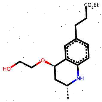 CCOC(=O)CCc1ccc2c(c1)[C@H](OCCO)C[C@@H](C)N2